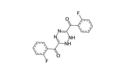 O=C(C1=NN=C(C(=O)c2ccccc2F)NN1)c1ccccc1F